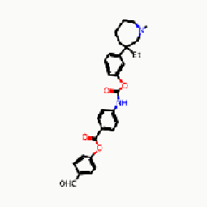 CCC1(c2cccc(OC(=O)Nc3ccc(C(=O)Oc4ccc(C=O)cc4)cc3)c2)CCCCN(C)C1